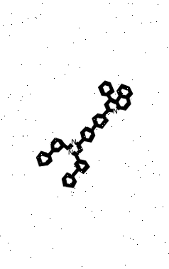 c1ccc(-c2cccc(-c3cc(-c4ccc(-c5ccc(-c6cc(-c7ccccc7)c7c(ccc8ccccc87)n6)cc5)cc4)nc(-c4cccc(-c5ccccc5)c4)n3)c2)cc1